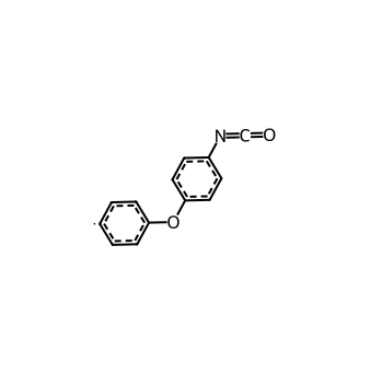 O=C=Nc1ccc(Oc2cc[c]cc2)cc1